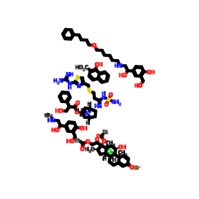 CC(C)(C)NCC(O)c1ccc(O)c(CO)c1.CC(C)[N+]1(C)[C@@H]2CC[C@H]1C[C@@H](OC(=O)C(CO)c1ccccc1)C2.CCC(=O)OCC(=O)[C@@]1(OC(=O)CC)[C@@H](C)C[C@H]2[C@@H]3CCC4=CC(=O)C=C[C@]4(C)[C@@]3(Cl)[C@@H](O)C[C@@]21C.N=C(N)Nc1nc(CSCCC(=N)NS(N)(=O)=O)cs1.O=C(O)c1ccc2ccccc2c1O.OCc1cc(C(O)CNCCCCCCOCCCCc2ccccc2)ccc1O.[Br-]